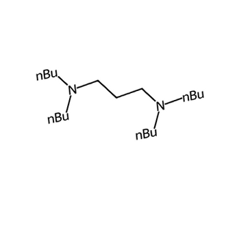 CCCCN(CCCC)CCCN(CCCC)CCCC